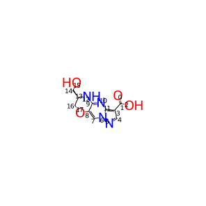 O=C(O)c1cnn2cc3c(nc12)N[C@H](CO)CO3